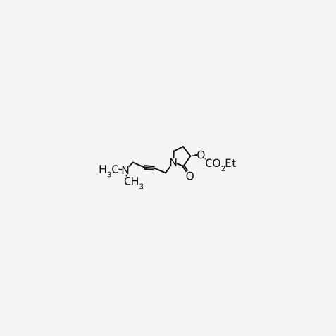 CCOC(=O)O[C@@H]1CCN(CC#CCN(C)C)C1=O